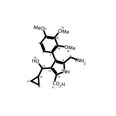 COc1ccc(-c2c(CN)[nH]c(C(=O)O)c2C(O)C2CC2)c(OC)c1OC